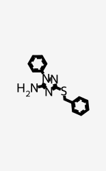 Nc1nc(SCc2ccccc2)nn1-c1ccccc1